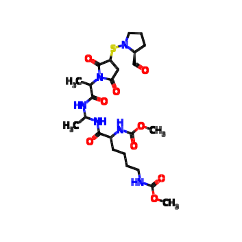 COC(=O)NCCCCC(NC(=O)OC)C(=O)NC(C)NC(=O)C(C)N1C(=O)CC(SN2CCC[C@H]2C=O)C1=O